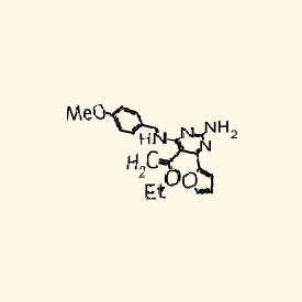 C=C(OCC)c1c(NCc2ccc(OC)cc2)nc(N)nc1-c1ccco1